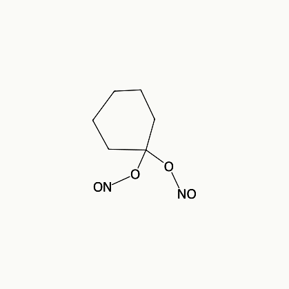 O=NOC1(ON=O)CCCCC1